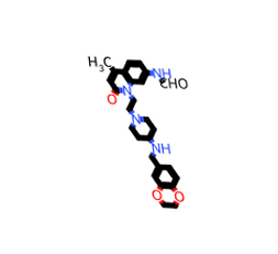 Cc1cc(=O)n(CCN2CCC(NCc3ccc4c(c3)OCCO4)CC2)c2cc(NC=O)ccc12